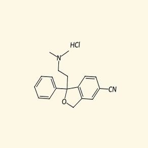 CN(C)CCC1(c2ccccc2)OCc2cc(C#N)ccc21.Cl